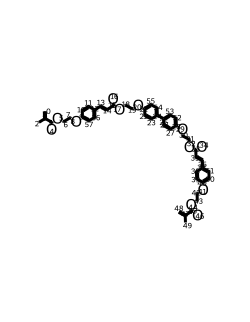 C=C(C)C(=O)OCCOc1ccc(/C=C/C(=O)OCCOc2ccc(-c3ccc(OCCOC(=O)/C=C/c4ccc(OCCOC(=O)C(=C)C)cc4)cc3)cc2)cc1